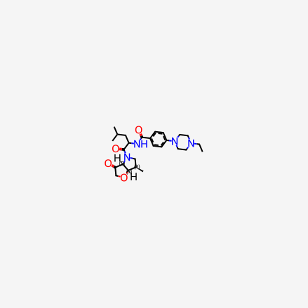 CCN1CCN(c2ccc(C(=O)NC(CC(C)C)C(=O)N3C[C@@H](C)[C@H]4OCC(=O)[C@H]43)cc2)CC1